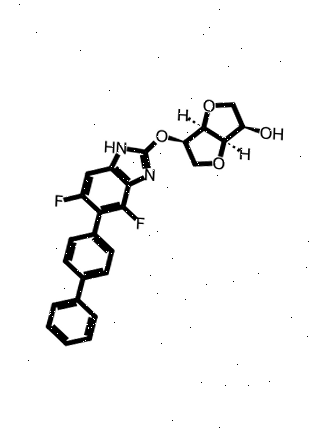 O[C@@H]1CO[C@H]2[C@@H]1OC[C@H]2Oc1nc2c(F)c(-c3ccc(-c4ccccc4)cc3)c(F)cc2[nH]1